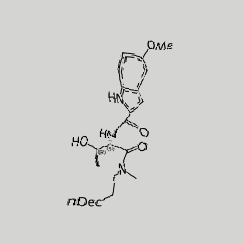 CCCCCCCCCCCCN(C)C(=O)[C@@H](NC(=O)c1cc2cc(OC)ccc2[nH]1)[C@@H](C)O